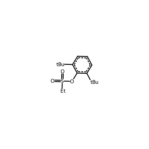 CCS(=O)(=O)Oc1c(C(C)(C)C)cccc1C(C)(C)C